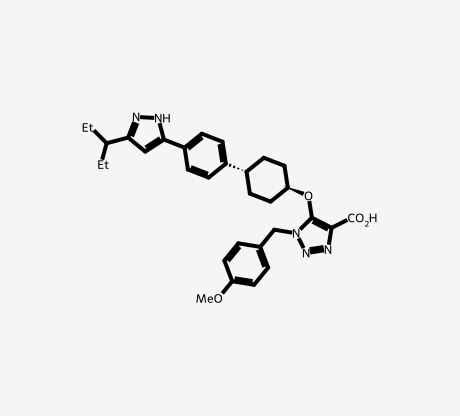 CCC(CC)c1cc(-c2ccc([C@H]3CC[C@H](Oc4c(C(=O)O)nnn4Cc4ccc(OC)cc4)CC3)cc2)[nH]n1